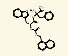 CC(Cc1ccccc1)(NC(=O)[C@H](Cc1c[nH]c2ccccc12)NC(=O)OCc1cccc2ccccc12)C(N)=O